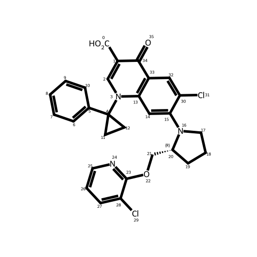 O=C(O)c1cn(C2(c3ccccc3)CC2)c2cc(N3CCC[C@@H]3COc3ncccc3Cl)c(Cl)cc2c1=O